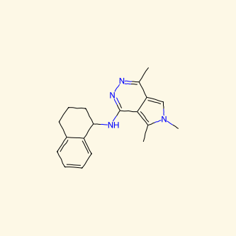 Cc1nnc(NC2CCCc3ccccc32)c2c(C)n(C)cc12